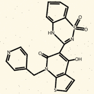 O=c1c(C2=NS(=O)(=O)c3ccccc3N2)c(O)c2ccsc2n1Cc1ccncc1